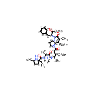 CCCC1CC[C@@](C)(C(=O)N[C@H](C(=O)N(C)[C@@H]([C@@H](C)CC)[C@@H](CC(=O)N2CCC[C@H]2[C@H](OC)[C@@H](C)C(=O)N[C@@H](Cc2ccccc2)C(=O)OC)OC)C(C)C)N1